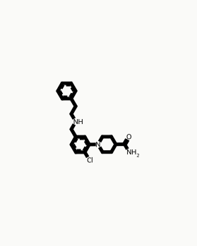 NC(=O)C1CCN(c2cc(CNCCc3ccccc3)ccc2Cl)CC1